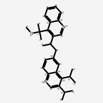 COC(C)(C)c1c(C(C)Cc2ccc3ncc(C(C)C)c(C(C)C)c3c2)cnc2ccccc12